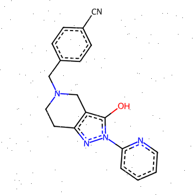 N#Cc1ccc(CN2CCc3nn(-c4ccccn4)c(O)c3C2)cc1